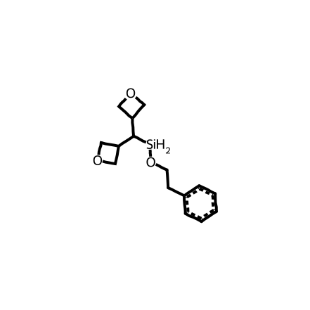 c1ccc(CCO[SiH2]C(C2COC2)C2COC2)cc1